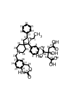 CCOC(c1ccccc1)C1(CCc2ccccc2)CCN(Cc2ccc3c(c2)COC(=O)N3)CC1.O=C(O)CC(O)(CC(=O)O)C(=O)O